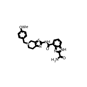 COc1ccc(CN2CCc3nc(NC(=O)c4cccc5[nH]c(C(N)=O)nc45)sc3C2)cc1